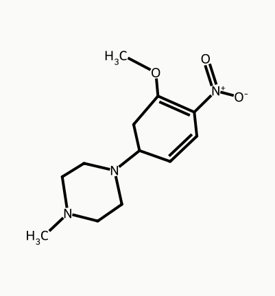 COC1=C([N+](=O)[O-])C=CC(N2CCN(C)CC2)C1